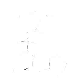 CC(=O)N[C@H](C(=O)NC(C)(C)C(=O)N[C@@H](Cc1ccccc1)C(=O)O)[C@@H](C)O